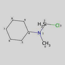 CN([SiH2]Cl)C1CCCCC1